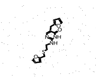 O=c1[nH]c(NCCSCc2ccco2)ncc1Cc1ccco1